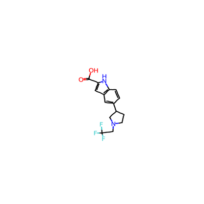 O=C(O)c1cc2cc(C3CCN(CC(F)(F)F)C3)ccc2[nH]1